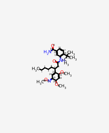 CCCCCC(CC(=O)Nc1cc(C(N)=O)ccc1C(C)(C)C)C1=CC(=NOC)C(OC)C=C1OC